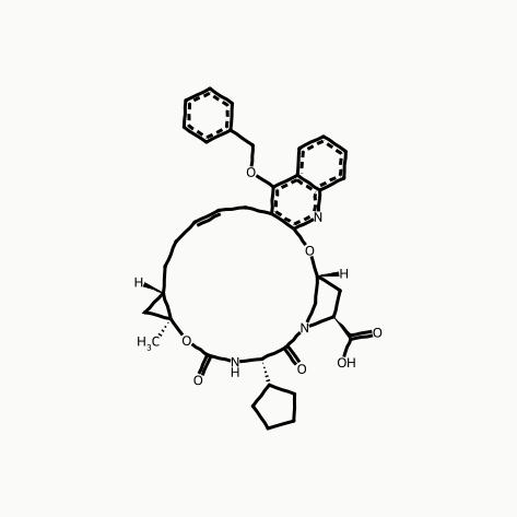 C[C@]12C[C@@H]1CCC=CCc1c(nc3ccccc3c1OCc1ccccc1)O[C@@H]1C[C@@H](C(=O)O)N(C1)C(=O)[C@H](C1CCCC1)NC(=O)O2